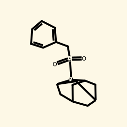 O=S(=O)(Cc1ccccc1)N1C2CC3CC(C2)CC1C3